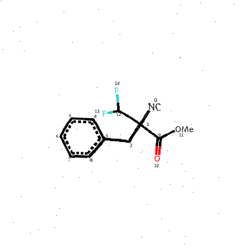 [C-]#[N+]C(Cc1ccccc1)(C(=O)OC)C(F)F